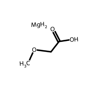 COCC(=O)O.[MgH2]